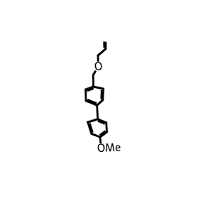 C=CCOCc1ccc(-c2ccc(OC)cc2)cc1